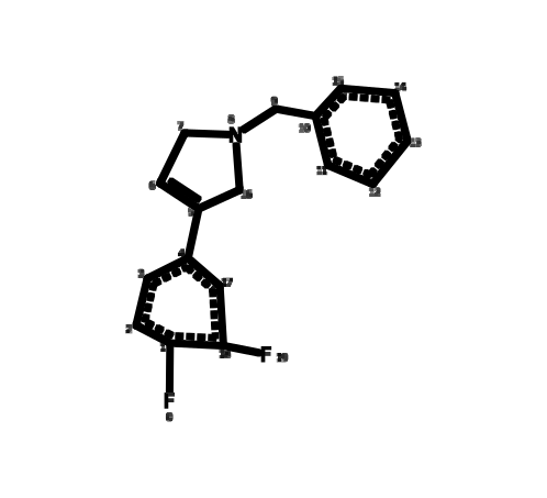 Fc1ccc(C2=CCN(Cc3ccccc3)C2)cc1F